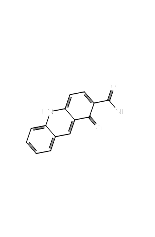 [NH]C(=O)c1ccc2[nH]c3ccccc3cc-2c1=O